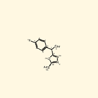 OC(c1ccc(F)cc1)c1nnc(S)o1